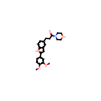 COc1ccc(-c2cc3cc(CCC(=O)N4CCOCC4)ccc3o2)cc1OC